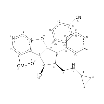 COc1cncc2c1[C@]1(O)[C@H](O)[C@H](CNC3CC3)[C@@H](c3ccccc3)[C@]1(c1ccc(C#N)cc1)O2